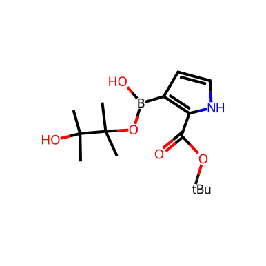 CC(C)(C)OC(=O)c1[nH]ccc1B(O)OC(C)(C)C(C)(C)O